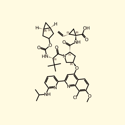 C=C[C@@H]1C[C@]1(NC(=O)[C@@H]1C[C@@H](Oc2cc(-c3cccc(NC(C)C)n3)nc3c(Cl)c(OC)ccc23)CN1C(=O)[C@@H](NC(=O)OC1C[C@@H]2C[C@@H]2C1)C(C)(C)C)C(=O)O